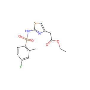 CCOC(=O)Cc1csc(NS(=O)(=O)c2ccc(F)cc2C)n1